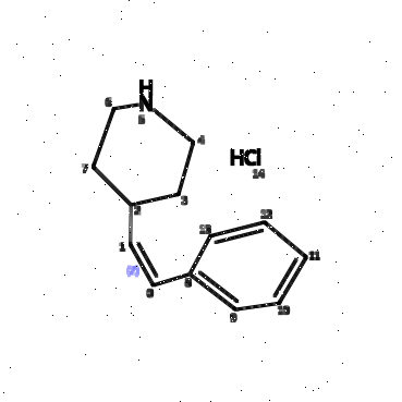 C(=C/C1CCNCC1)/c1ccccc1.Cl